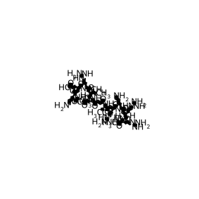 CCC(=O)[C@H](CCCNC(=N)N)NC(=O)[C@H](CCCNC(=N)N)CC(=O)[C@H](CCCCN)NC(=O)[C@H](CCCNC(=N)N)CC(=O)[C@H](CC(C)C)NC(=O)CCC(=O)[C@H](CCC(=O)O)NC(=O)[C@@H](CC(=O)[C@H](CCCNC(=N)N)NC(=O)[C@H](CCC(=O)O)CC(=O)[C@H](CCCCN)NC(C)=O)[C@@H](C)CC